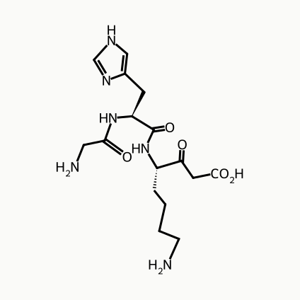 NCCCC[C@H](NC(=O)[C@H](Cc1c[nH]cn1)NC(=O)CN)C(=O)CC(=O)O